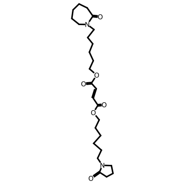 O=C(C=CC(=O)OCCCCCCN1CCCC1=O)OCCCCCCN1CCCCCC1=O